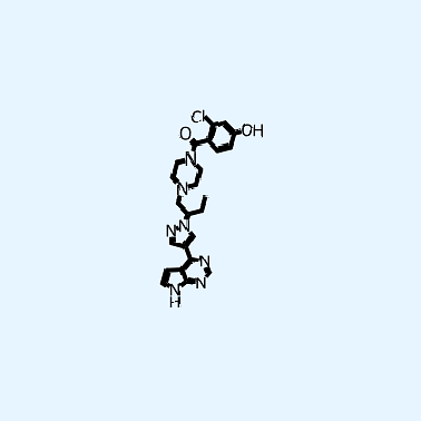 CCC(CN1CCN(C(=O)c2ccc(O)cc2Cl)CC1)n1cc(-c2ncnc3[nH]ccc23)cn1